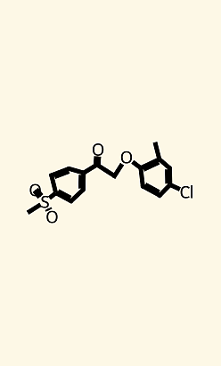 Cc1cc(Cl)ccc1OCC(=O)c1ccc(S(C)(=O)=O)cc1